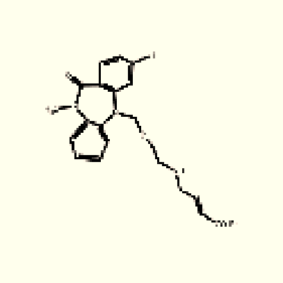 CCOC(=O)/C=C/CNCCCCN1c2cc(Cl)ccc2C(=O)N(C)c2ccccc21